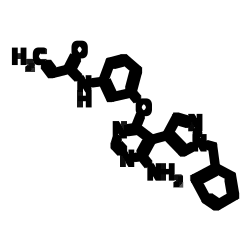 C=CC(=O)Nc1cccc(Oc2ncnc(N)c2-c2cnn(Cc3ccccc3)c2)c1